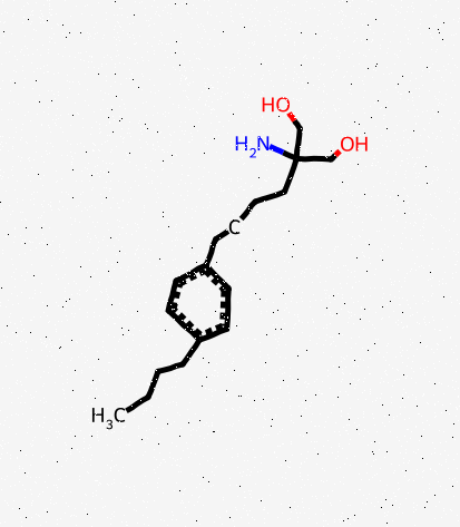 CCCCc1ccc(CCCCC(N)(CO)CO)cc1